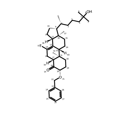 C[C@H](CCCC(C)(C)O)[C@H]1CC[C@H]2C3=C(F)C[C@H]4C(=O)[C@@H](OCc5ccccc5)CC[C@]4(C)[C@H]3CC[C@]12C